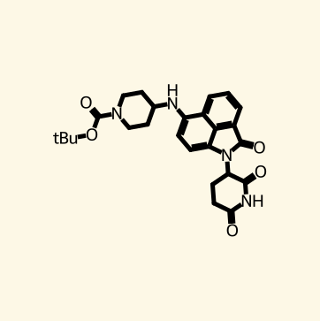 CC(C)(C)OC(=O)N1CCC(Nc2ccc3c4c(cccc24)C(=O)N3C2CCC(=O)NC2=O)CC1